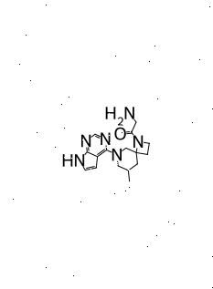 CC1CN(c2ncnc3[nH]ccc23)CC2(CCN2C(=O)CN)C1